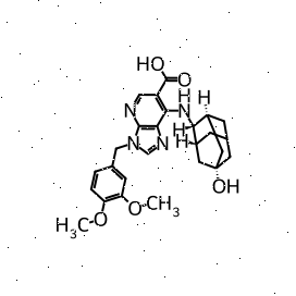 COc1ccc(Cn2cnc3c(N[C@H]4[C@@H]5CC6C[C@H]4C[C@@](O)(C6)C5)c(C(=O)O)cnc32)cc1OC